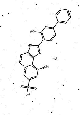 Cl.O=S(=O)(O)c1cc(O)c2c(ccc3[nH]c(-c4ccc(-c5ccccc5)cc4O)nc32)c1